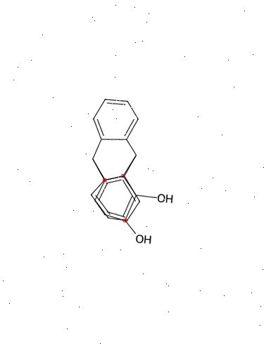 Oc1ccc2c(c1O)C1c3ccccc3C2c2ccccc21